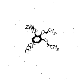 CCOc1cccc([N+]#N)c1OCC.[Cl-].[Cl-].[Cl-].[Zn+2]